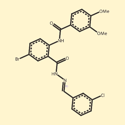 COc1ccc(C(=O)Nc2ccc(Br)cc2C(=O)N/N=C/c2cccc(Cl)c2)cc1OC